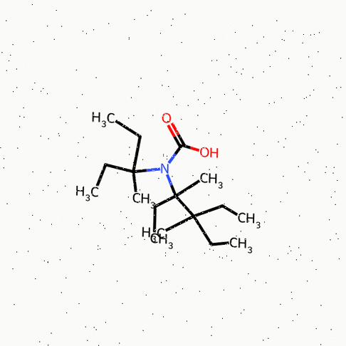 CCC(C)(CC)N(C(=O)O)C(C)(CC)C(C)(CC)CC